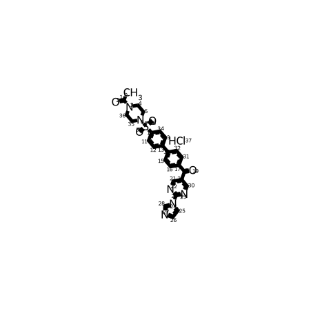 CC(=O)N1CCN(S(=O)(=O)c2ccc(-c3ccc(C(=O)c4cnc(-n5ccnc5)nc4)cc3)cc2)CC1.Cl